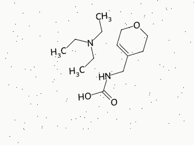 CCN(CC)CC.O=C(O)NCC1=CCOCC1